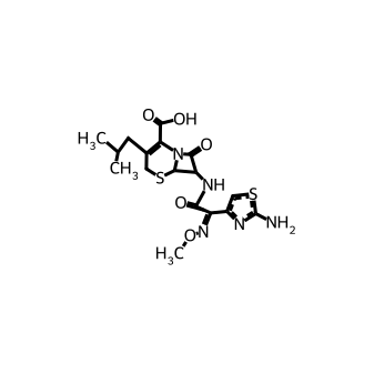 CO/N=C(\C(=O)NC1C(=O)N2C(C(=O)O)=C(CC(C)C)CSC12)c1csc(N)n1